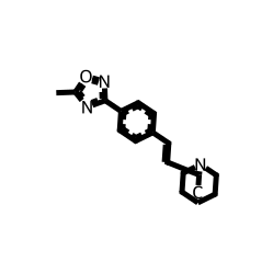 Cc1nc(-c2ccc(C=CC3CC4CCN3CC4)cc2)no1